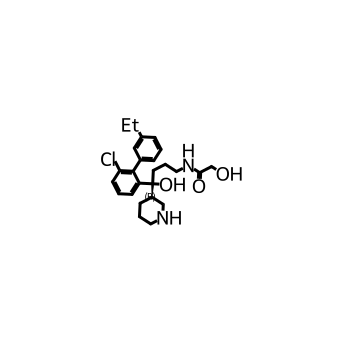 CCc1cccc(-c2c(Cl)cccc2C(O)(CCCNC(=O)CO)[C@@H]2CCCNC2)c1